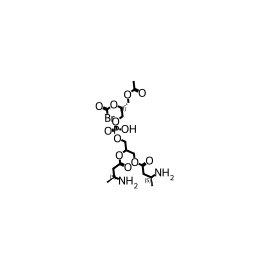 CC(=O)OC[C@H](COP(=O)(O)OCC(COC(=O)C[C@H](C)N)OC(=O)C[C@H](C)N)OC(=O)Br